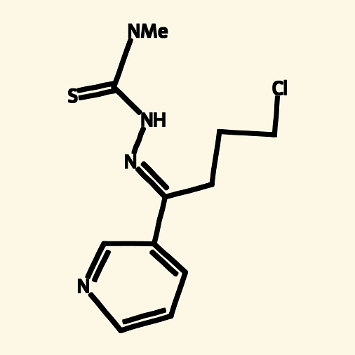 CNC(=S)NN=C(CCCCl)c1cccnc1